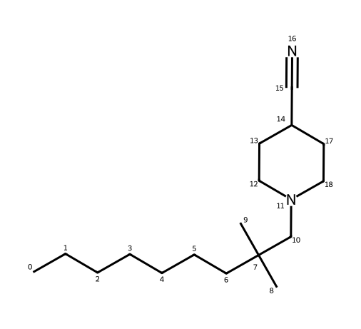 CCCCCCCC(C)(C)CN1CCC(C#N)CC1